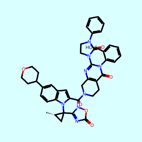 C[C@H]1CC1(c1nc(=O)o[nH]1)n1c(C(=O)N2CCc3c(nc(N4CCN(c5ccccc5)C4=O)n(-c4ccccc4C(=O)O)c3=O)C2)cc2cc(C3CCOCC3)ccc21